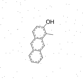 Cc1c(O)ccc2cc3ccccc3cc12